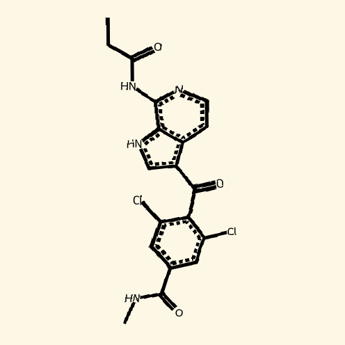 CCC(=O)Nc1nccc2c(C(=O)c3c(Cl)cc(C(=O)NC)cc3Cl)c[nH]c12